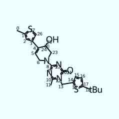 Cc1cc(C2=CCN(c3nc(C)n(Cc4ccc(C(C)(C)C)s4)c(=O)n3)C[C@@H]2O)cs1